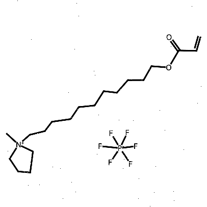 C=CC(=O)OCCCCCCCCCCC[N+]1(C)CCCC1.F[P-](F)(F)(F)(F)F